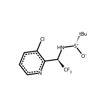 CC(C)(C)[S@+]([O-])N[C@H](c1ncccc1Cl)C(F)(F)F